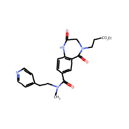 CCOC(=O)CCN1CC(=O)Nc2ccc(C(=O)N(C)CCc3ccncc3)cc2C1=O